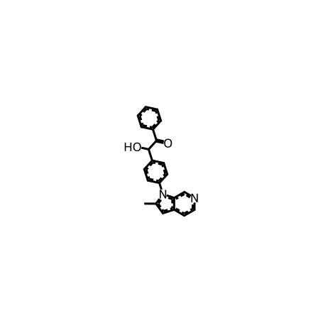 Cc1cc2ccncc2n1-c1ccc(C(O)C(=O)c2ccccc2)cc1